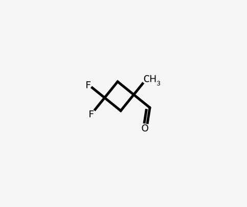 CC1(C=O)CC(F)(F)C1